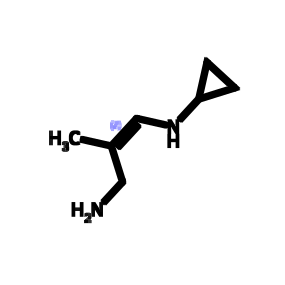 C/C(=C/NC1CC1)CN